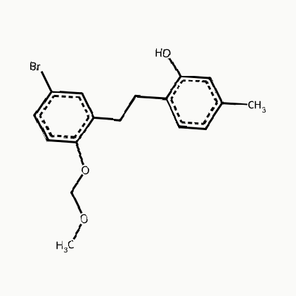 COCOc1ccc(Br)cc1CCc1ccc(C)cc1O